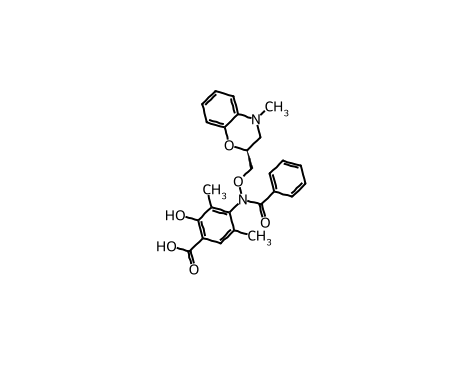 Cc1cc(C(=O)O)c(O)c(C)c1N(OC[C@@H]1CN(C)c2ccccc2O1)C(=O)c1ccccc1